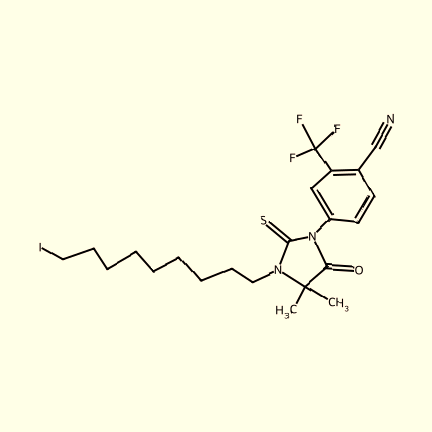 CC1(C)C(=O)N(c2ccc(C#N)c(C(F)(F)F)c2)C(=S)N1CCCCCCCCCI